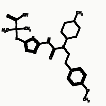 COc1ccc(CCN(C(=O)Nc2ncc(SC(C)(C)C(=O)O)s2)C2CCC(C)CC2)cc1